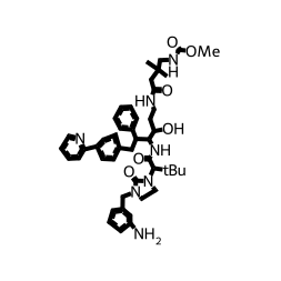 COC(=O)NCC(C)(C)CC(=O)NCCC(O)C(NC(=O)C(N1CCN(Cc2cccc(N)c2)C1=O)C(C)(C)C)C(Cc1ccc(-c2ccccn2)cc1)c1ccccc1